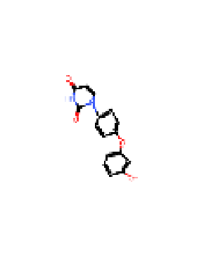 O=c1ccn(-c2ccc(Oc3cccc(O)c3)cc2)c(=O)[nH]1